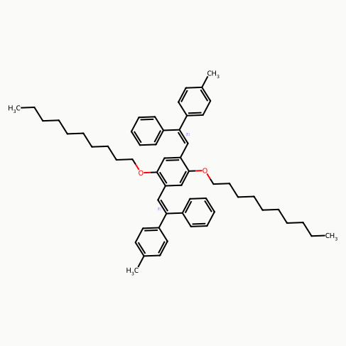 CCCCCCCCCCOc1cc(/C=C(\c2ccccc2)c2ccc(C)cc2)c(OCCCCCCCCCC)cc1/C=C(\c1ccccc1)c1ccc(C)cc1